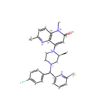 C[C@H]1CN(C(c2ccc(F)cc2)c2cccc(C(F)(F)F)n2)CCN1c1cc(=O)n(C)c2ccc(C#N)nc12